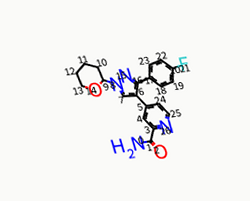 NC(=O)c1cc(-c2cn(C3CCCCO3)nc2-c2ccc(F)cc2)ccn1